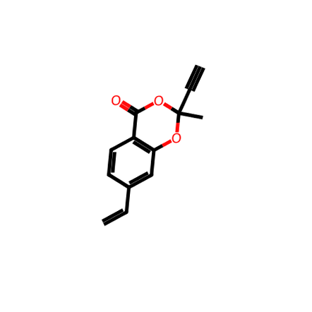 C#CC1(C)OC(=O)c2ccc(C=C)cc2O1